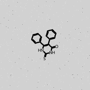 O=c1[nH]c(=S)[nH]c(-c2ccccc2)c1-c1ccccc1